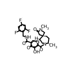 C[C@H]1CC[C@]2(CC(=O)N(C)C2)[C@H]2CN1C(=O)c1c(O)c(=O)c(C(=O)NCc3c(F)cc(F)cc3F)cn12